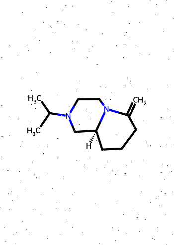 C=C1CCC[C@H]2CN(C(C)C)CCN12